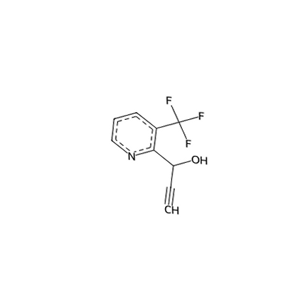 C#CC(O)c1ncccc1C(F)(F)F